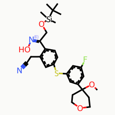 COC1(c2cc(F)cc(Sc3ccc(/C(CO[Si](C)(C)C(C)(C)C)=N\O)c(CC#N)c3)c2)CCOCC1